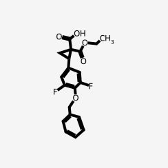 CCOC(=O)C1(C(=O)O)CC1c1cc(F)c(OCc2ccccc2)c(F)c1